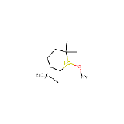 CCCO[SH]1CCCCC1(C)C.CCOC(C)=O